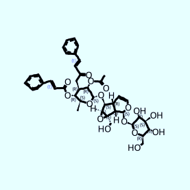 CC(=O)O[C@H]1[C@H](O[C@H]2[C@@H]3C=CO[C@@H](O[C@@H]4O[C@H](CO)[C@@H](O)[C@H](O)[C@H]4O)[C@@H]3[C@@]3(CO)O[C@@H]23)O[C@@H](C)[C@H](OC(=O)/C=C/c2ccccc2)[C@H]1CC(=O)/C=C/c1ccccc1